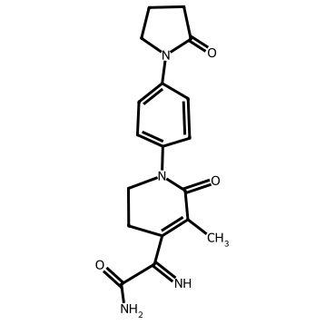 CC1=C(C(=N)C(N)=O)CCN(c2ccc(N3CCCC3=O)cc2)C1=O